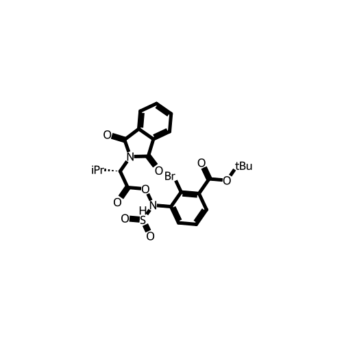 CC(C)[C@@H](C(=O)ON(c1cccc(C(=O)OC(C)(C)C)c1Br)[SH](=O)=O)N1C(=O)c2ccccc2C1=O